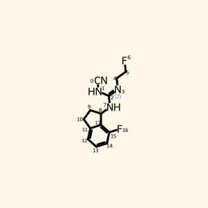 N#CN/C(=N\CCF)NC1CCc2cccc(F)c21